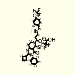 O=C(CCNCc1ccc(OC(F)(F)F)cc1)N1CCc2nc(C3CCC3)n(-c3ccccc3)c(=O)c2C1S.O=C(O)C(F)(F)F